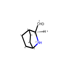 O=[C][C@H]1NC2CCC1CC2